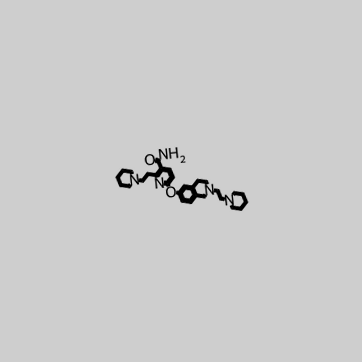 NC(=O)c1ccc(Oc2ccc3c(c2)CCN(CCN2CCCCC2)C3)nc1CCN1CCCCC1